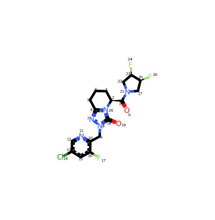 O=C([C@@H]1CCCc2nn(Cc3ncc(Cl)cc3F)c(=O)n21)N1C[C@@H](F)[C@@H](F)C1